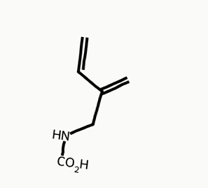 C=CC(=C)CNC(=O)O